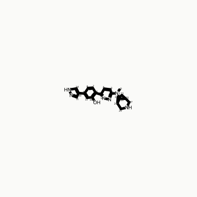 CN(c1ccc(-c2ccc(-c3cn[nH]c3)cc2O)nn1)C1C2CCC1CNC2